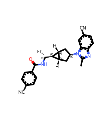 CC[C@@H](NC(=O)c1ccc(C#N)cc1)[C@H]1[C@@H]2C[C@@H](n3c(C)nc4ccc(C#N)cc43)C[C@@H]21